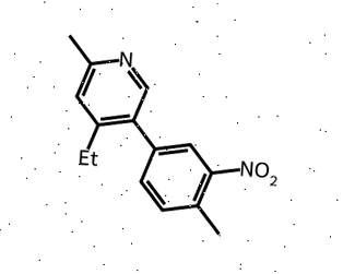 CCc1cc(C)ncc1-c1ccc(C)c([N+](=O)[O-])c1